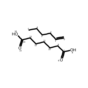 C=CCCCC.O=C(O)CCCCCC(=O)O